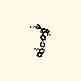 Cn1cc(-c2cn3ncc(C#N)c3c(-c3ccc(N4CCN(C(=O)C(N)c5ccccc5F)CC4)nc3)n2)cn1